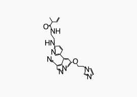 C=CC(C)C(=O)NCCNc1ccc(-c2cc(OCCn3ccnc3)cn3ncc(C#N)c23)cn1